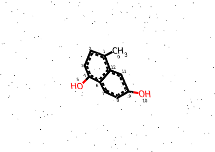 Cc1ccc(O)c2ccc(O)cc12